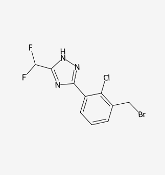 FC(F)c1nc(-c2cccc(CBr)c2Cl)n[nH]1